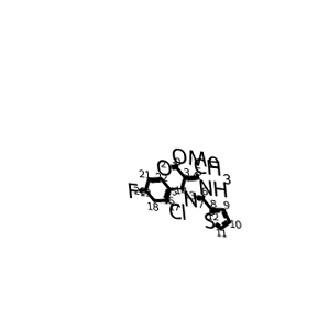 COC(=O)C1=C(C)NC(c2cccs2)=N[C@H]1C1=C(Cl)CC(F)C=C1